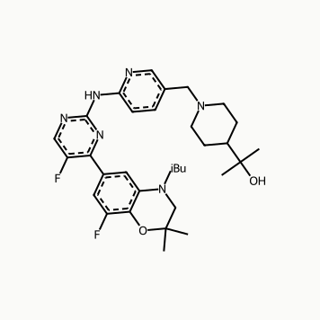 CCC(C)N1CC(C)(C)Oc2c(F)cc(-c3nc(Nc4ccc(CN5CCC(C(C)(C)O)CC5)cn4)ncc3F)cc21